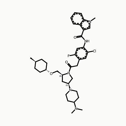 CN(C)C1CCN([C@H]2C[C@@H](CO[C@H]3CC[C@H](C)CC3)N(C(=O)Cc3cc(Cl)c(NC(=O)c4cn(C)c5ccccc45)cc3F)C2)CC1